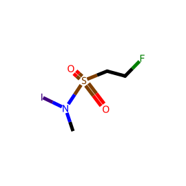 CN(I)S(=O)(=O)CCF